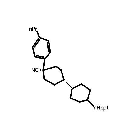 CCCCCCCC1CCC([C@H]2CC[C@](C#N)(c3ccc(CCC)cc3)CC2)CC1